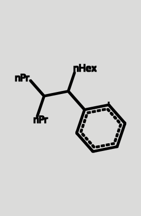 CCCCCCC(c1[c]cccc1)C(CCC)CCC